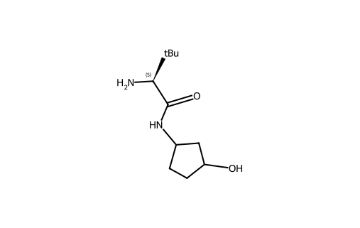 CC(C)(C)[C@H](N)C(=O)NC1CCC(O)C1